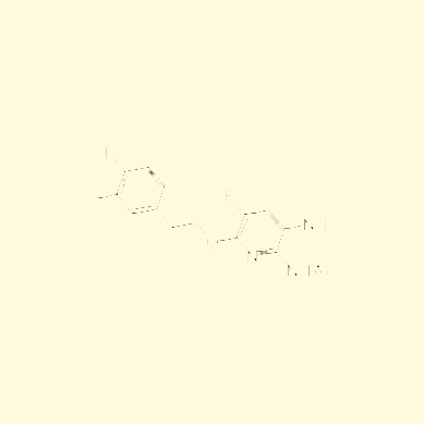 CC(=O)Nc1nc(OCCc2ccc(F)c(F)c2)c(F)cc1N